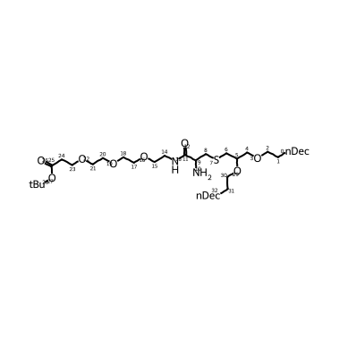 CCCCCCCCCCCCOCC(CSCC(N)C(=O)NCCOCCOCCOCCC(=O)OC(C)(C)C)OCCCCCCCCCCCC